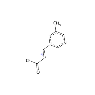 Cc1cncc(/C=C/C(=O)Cl)c1